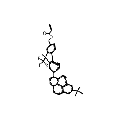 C=CC(=O)OCc1ccc2c(c1)C(C)(C(F)(F)F)c1cc(-c3ccc4ccc5cc(C(C)(C)C)cc6ccc3c4c56)ccc1-2